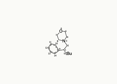 CC(C)(C)C(CN1CCOCC1)c1ccccc1